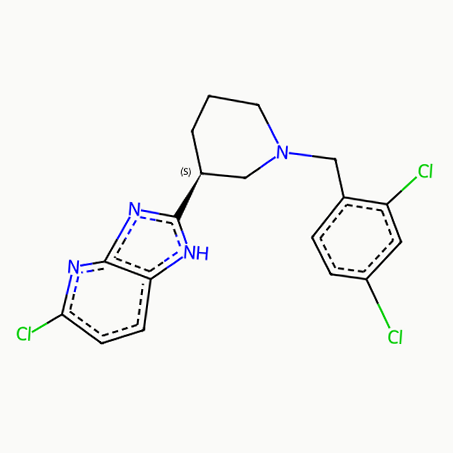 Clc1ccc(CN2CCC[C@H](c3nc4nc(Cl)ccc4[nH]3)C2)c(Cl)c1